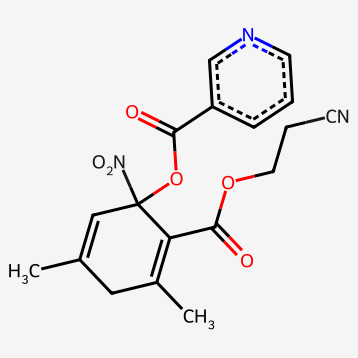 CC1=CC(OC(=O)c2cccnc2)([N+](=O)[O-])C(C(=O)OCCC#N)=C(C)C1